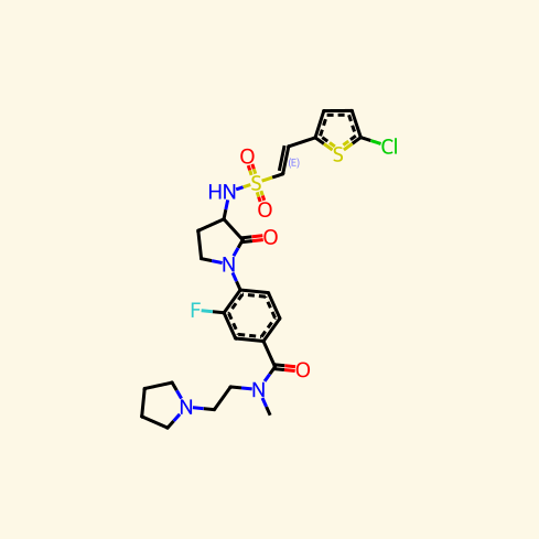 CN(CCN1CCCC1)C(=O)c1ccc(N2CCC(NS(=O)(=O)/C=C/c3ccc(Cl)s3)C2=O)c(F)c1